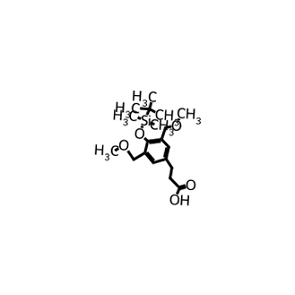 COCc1cc(CCC(=O)O)cc(COC)c1O[Si](C)(C)C(C)(C)C